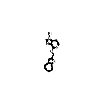 CCn1cnc2c(OCc3cc4ccccc4s3)nccc21